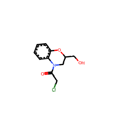 O=C(CCl)N1CC(CO)Oc2ccccc21